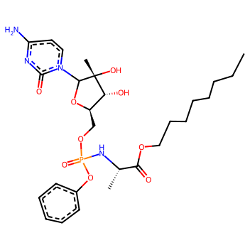 CCCCCCCCOC(=O)[C@H](C)NP(=O)(OC[C@H]1OC(n2ccc(N)nc2=O)[C@](C)(O)[C@@H]1O)Oc1ccccc1